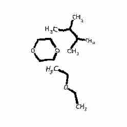 C1COCCO1.CC(C)C(C)C.CCOCC